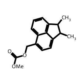 COC(=O)OCc1ccc2c3c(cccc13)C(C)C2C